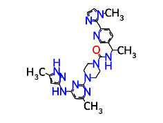 Cc1cc(Nc2cc(C)[nH]n2)nc(N2CCN(C(=O)NC(C)c3ccc(-c4nccn4C)nc3)CC2)n1